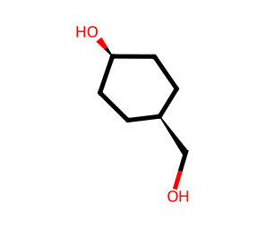 OC[C@H]1CC[C@@H](O)CC1